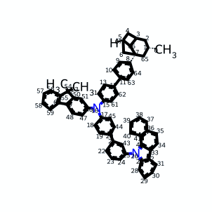 C[C@H]1CC2C[C@H]3C[C@](c4ccc(-c5ccc(N(c6ccc(-c7cccc(-n8c9ccccc9c9ccc%10ccccc%10c98)c7)cc6)c6ccc7c(c6)C(C)(C)c6ccccc6-7)cc5)cc4)(C1)C23